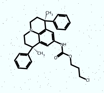 C[C@@]1(c2ccccc2)CCN2CC[C@](C)(c3ccccc3)c3cc(NC(=O)OCCCCl)cc1c32